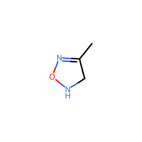 CC1=NONC1